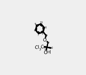 CC(O)(COCc1ccccc1)C(Cl)(Cl)Cl